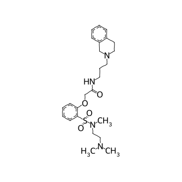 CN(C)CCN(C)S(=O)(=O)c1ccccc1OCC(=O)NCCCN1CCc2ccccc2C1